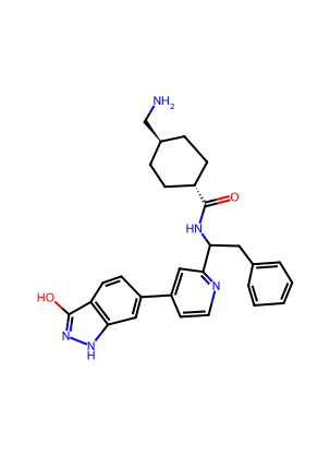 NC[C@H]1CC[C@H](C(=O)NC(Cc2ccccc2)c2cc(-c3ccc4c(O)n[nH]c4c3)ccn2)CC1